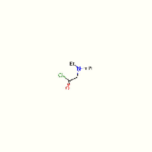 CCCN(CC)CC(=O)Cl